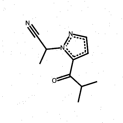 CC(C)C(=O)c1ccnn1C(C)C#N